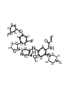 C=CC(=O)Nc1cc(Nc2cc(N3OCCC3c3cc(F)cc(Oc4cccc(F)c4)c3)ncn2)c(OC)cc1N1CCN(C)CC1